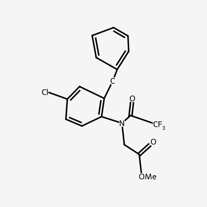 COC(=O)CN(C(=O)C(F)(F)F)c1ccc(Cl)cc1Cc1ccccc1